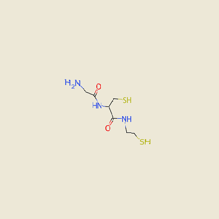 NCC(=O)NC(CS)C(=O)NCCS